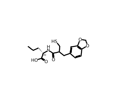 CCC[C@H](NC(=O)C(CS)Cc1ccc2c(c1)OCO2)C(=O)O